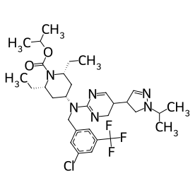 CC[C@@H]1C[C@H](N(Cc2cc(Cl)cc(C(F)(F)F)c2)C2=NCC(C3C=NN(C(C)C)C3)C=N2)C[C@H](CC)N1C(=O)OC(C)C